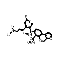 CCN(CC)CC=Cc1cc(F)ccc1N(c1ccc2c(c1C(=O)OC)OCc1occc1-2)[SH](=O)=O